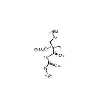 CCOC(=O)[C@@](C)(CSC(C)(C)C)C(=O)OC(=O)OC(C)C